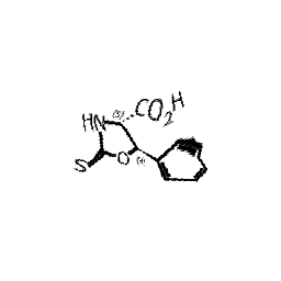 O=C(O)[C@H]1NC(=S)O[C@@H]1c1ccccc1